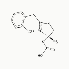 C[C@]1(OC(=O)O)CSC(Cc2ccccc2O)=N1